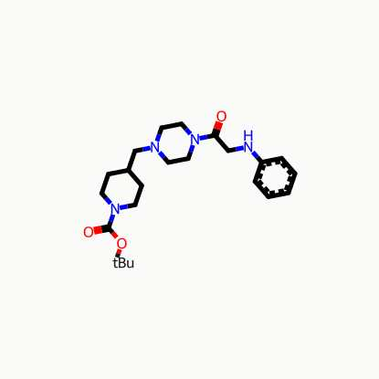 CC(C)(C)OC(=O)N1CCC(CN2CCN(C(=O)CNc3ccccc3)CC2)CC1